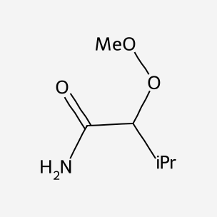 COOC(C(N)=O)C(C)C